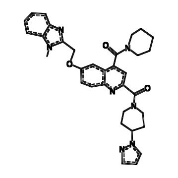 Cn1c(COc2ccc3nc(C(=O)N4CCC(n5cccn5)CC4)cc(C(=O)N4CCCCC4)c3c2)nc2ccccc21